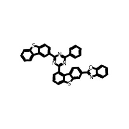 c1ccc(-c2nc(-c3ccc4sc5ccccc5c4c3)nc(-c3cccc4sc5cc(-c6nc7ccccc7o6)ccc5c34)n2)cc1